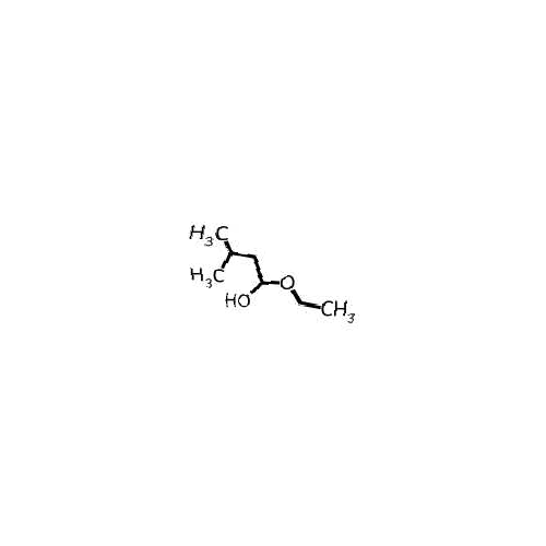 CCOC(O)CC(C)C